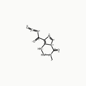 CN1NNc2c(C(=O)N=C=O)ncn2C1=O